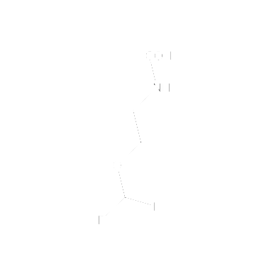 O=C(O)NCCOC(F)F